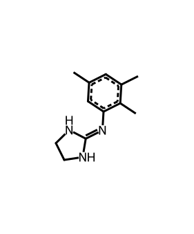 Cc1cc(C)c(C)c(N=C2NCCN2)c1